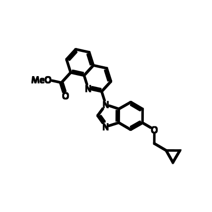 COC(=O)c1cccc2ccc(-n3cnc4cc(OCC5CC5)ccc43)nc12